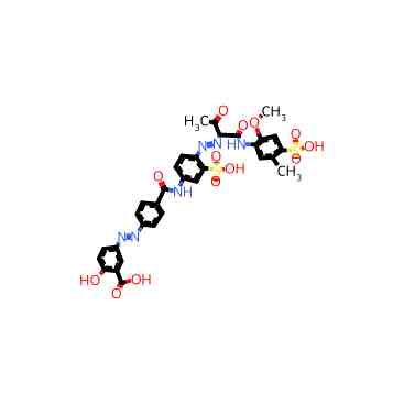 COc1cc(S(=O)(=O)O)c(C)cc1NC(=O)C(/N=N/c1ccc(NC(=O)c2ccc(/N=N/c3ccc(O)c(C(=O)O)c3)cc2)cc1S(=O)(=O)O)C(C)=O